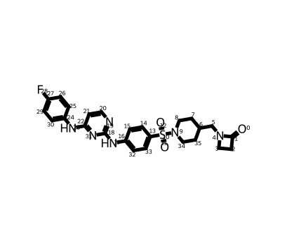 O=C1CCN1CC1CCN(S(=O)(=O)c2ccc(Nc3nccc(Nc4ccc(F)cc4)n3)cc2)CC1